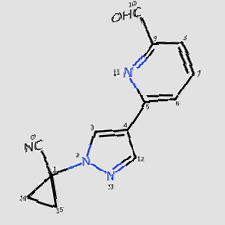 N#CC1(n2cc(-c3cccc(C=O)n3)cn2)CC1